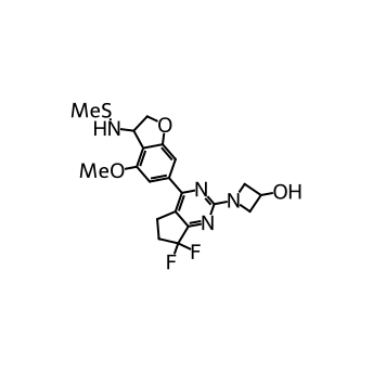 COc1cc(-c2nc(N3CC(O)C3)nc3c2CCC3(F)F)cc2c1C(NSC)CO2